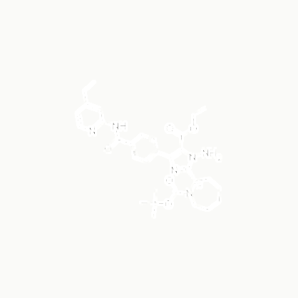 CCOC(=O)c1c(-c2ccc(C(=O)Nc3cc(CC)ccn3)cc2)nc([C@@H]2CCCCCN2C(=O)OC(C)(C)C)n1N